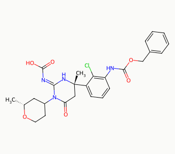 C[C@@H]1CC(N2C(=O)C[C@@](C)(c3cccc(NC(=O)OCc4ccccc4)c3Cl)N/C2=N\C(=O)O)CCO1